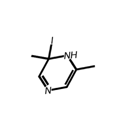 CC1=CN=CC(C)(I)N1